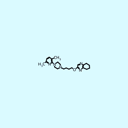 Cc1ccc(C)c(N2CCN(CCCCOc3cnc4c(n3)CCCC4)CC2)n1